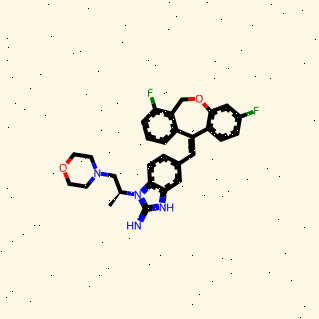 C[C@@H](CN1CCOCC1)n1c(=N)[nH]c2cc(/C=C3/c4ccc(F)cc4OCc4c(F)cccc43)ccc21